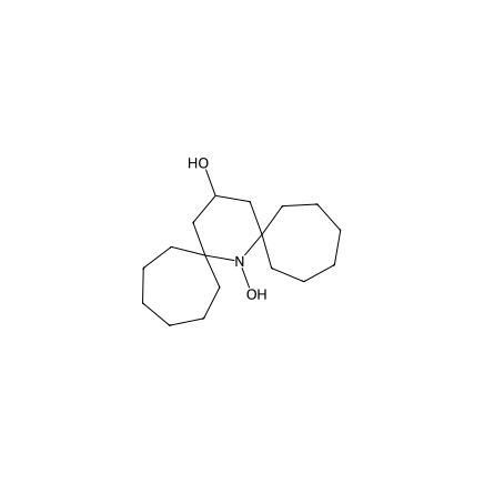 OC1CC2(CCCCCC2)N(O)C2(CCCCCC2)C1